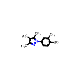 Cc1nn(-c2ccc(N=O)c(C(F)(F)F)c2)c(C)c1C